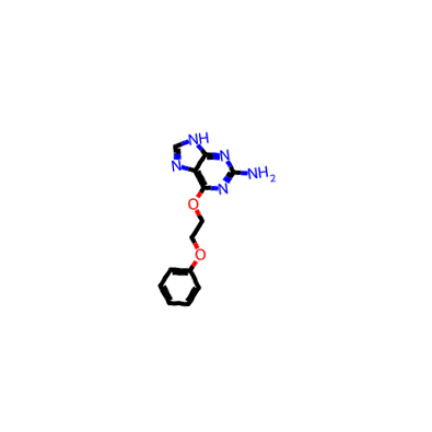 Nc1nc(OCCOc2ccccc2)c2nc[nH]c2n1